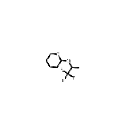 CC(OC1CCCCO1)C(F)(F)F